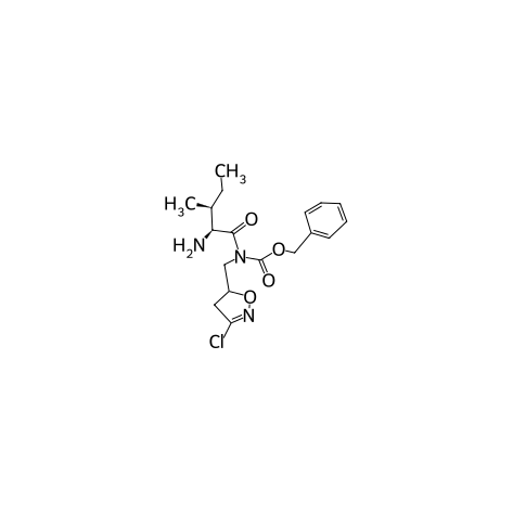 CC[C@H](C)[C@H](N)C(=O)N(CC1CC(Cl)=NO1)C(=O)OCc1ccccc1